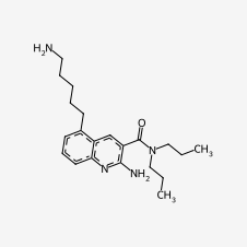 CCCN(CCC)C(=O)c1cc2c(CCCCCN)cccc2nc1N